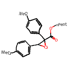 CCCCCOC(=O)C1(c2ccc(OC)cc2)OC1c1ccc(OC)cc1